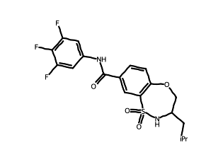 CC(C)CC1COc2ccc(C(=O)Nc3cc(F)c(F)c(F)c3)cc2S(=O)(=O)N1